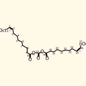 CCCCCCCC/C=C\CCCCCCCC(=O)OC(=O)OC(=O)CCCCCCC/C=C\CCCCCCCC